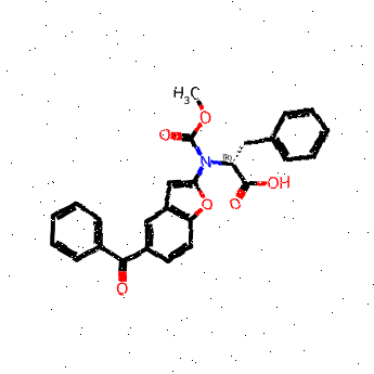 COC(=O)N(c1cc2cc(C(=O)c3ccccc3)ccc2o1)[C@H](Cc1ccccc1)C(=O)O